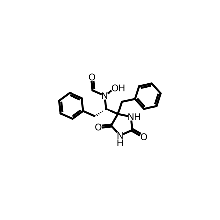 O=CN(O)[C@@H](Cc1ccccc1)C1(Cc2ccccc2)NC(=O)NC1=O